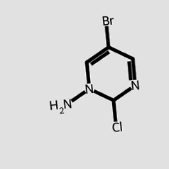 NN1C=C(Br)C=NC1Cl